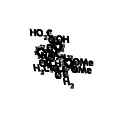 C=CC(=O)OCC(C)(C)C(=O)C(=O)N1CCCCC1C(=O)O[C@H](CCc1ccc(OC)c(OC)c1)c1ccc(O)c(OCC(=O)O)c1